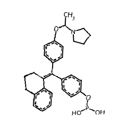 CC(Oc1ccc(C(=C2CCCc3ccccc32)c2ccc(OP(O)O)cc2)cc1)N1CCCC1